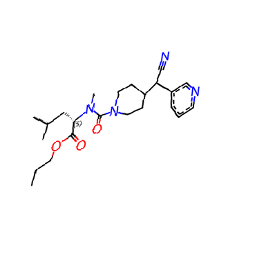 CCCOC(=O)[C@H](CC(C)C)N(C)C(=O)N1CCC(C(C#N)c2cccnc2)CC1